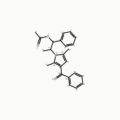 CC(=O)OC(c1ccccc1)C(C)n1c(C)cc(C(=O)c2ccccc2)c1C